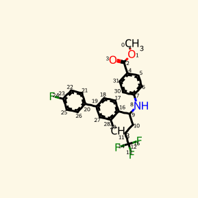 COC(=O)c1ccc(NC(CCC(F)(F)F)c2ccc(-c3ccc(F)cc3)cc2C)cc1